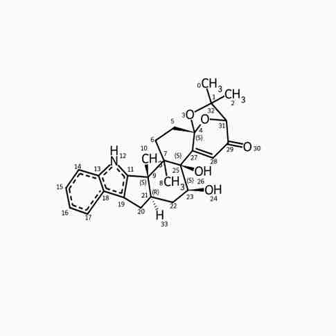 CC1(C)O[C@@]23CCC4(C)[C@@]5(C)c6[nH]c7ccccc7c6C[C@@H]5C[C@H](O)[C@@]4(O)C2=CC(=O)C1O3